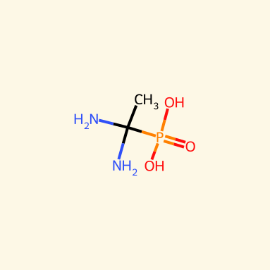 CC(N)(N)P(=O)(O)O